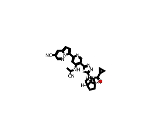 C[C@H](C#N)Nc1cc(-c2ccc3cc(C#N)cnn23)ncc1-c1nnc(N2C[C@H]3CC[C@@H](C2)[C@H]3NC(=O)C2CC2)s1